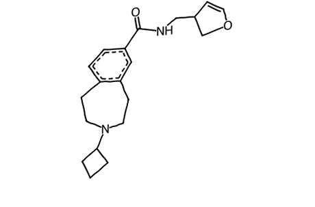 O=C(NCC1C=COC1)c1ccc2c(c1)CCN(C1CCC1)CC2